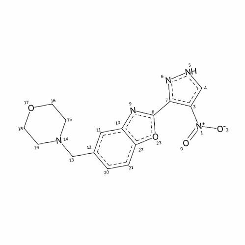 O=[N+]([O-])c1c[nH]nc1-c1nc2cc(CN3CCOCC3)ccc2o1